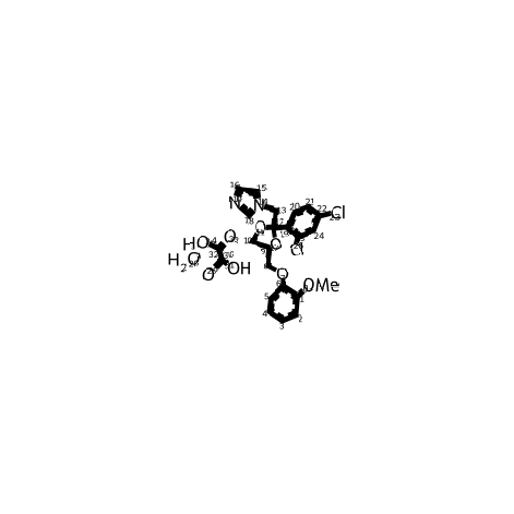 COc1ccccc1OCC1COC(Cn2ccnc2)(c2ccc(Cl)cc2Cl)O1.O.O=C(O)C(=O)O